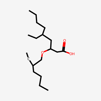 CCCCC(CC)COC(CC(=O)O)CC(CC)CCCC